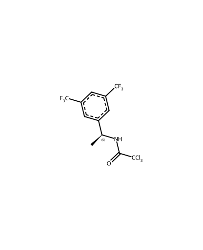 C[C@H](NC(=O)C(Cl)(Cl)Cl)c1cc(C(F)(F)F)cc(C(F)(F)F)c1